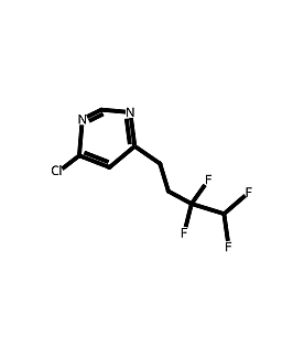 FC(F)C(F)(F)CCc1cc(Cl)ncn1